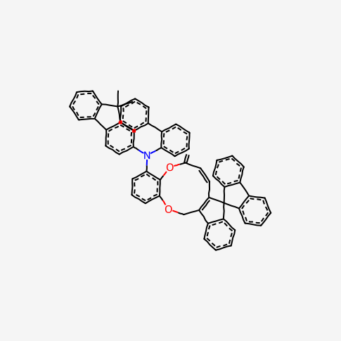 C=C1/C=C\C2=C(COc3cccc(N(c4ccc5c(c4)C(C)(C)c4ccccc4-5)c4ccccc4-c4ccccc4)c3O1)c1ccccc1C21c2ccccc2-c2ccccc21